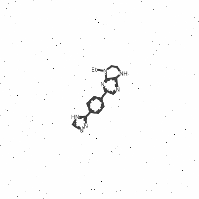 CCN1CCNc2ncc(-c3ccc(-c4nnc[nH]4)cc3)nc21